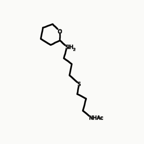 CC(=O)NCCCSCCC[SiH2]C1CCCCO1